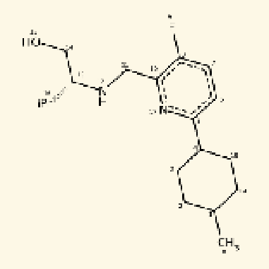 CC1CCC(c2ccc(F)c(CN[C@@H](CO)C(C)C)n2)CC1